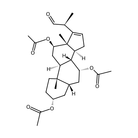 CC(=O)O[C@@H]1CC[C@@]2(C)[C@@H](C1)C[C@@H](OC(C)=O)[C@@H]1[C@@H]2C[C@@H](OC(C)=O)[C@]2(C)C([C@H](C)C=O)=CC[C@@H]12